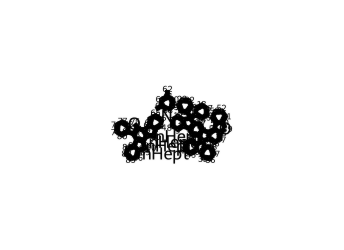 CCCCCCCC1(CCCCCCC)c2cc(N(c3ccc4c(c3)C(c3ccccc3)(c3ccccc3)c3cc5c(cc3-4)C(c3ccccc3)(c3ccccc3)c3ccc4oc6ccccc6c4c3-5)c3ccc(C)cc3C)ccc2-c2c1c1c(c3c2oc2ccccc23)-c2ccccc2C1(CCCCCCC)CCCCCCC